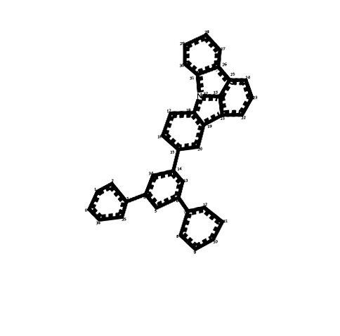 c1ccc(-c2cc(-c3ccccc3)cc(-c3ccc4c(c3)c3cccc5c6ccccc6n4c53)c2)cc1